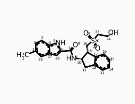 Cc1ccc2[nH]c(C(=O)N[C@@H]3Cc4ccccc4[C@@H]3CS(=O)(=O)CCO)cc2c1